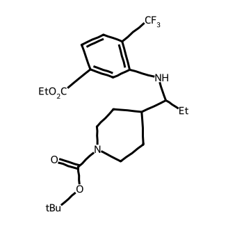 CCOC(=O)c1ccc(C(F)(F)F)c(NC(CC)C2CCN(C(=O)OC(C)(C)C)CC2)c1